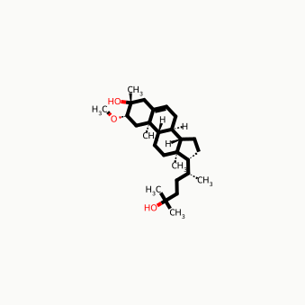 CO[C@H]1C[C@@]2(C)C(=CC[C@H]3[C@@H]4CC[C@H]([C@H](C)CCC(C)(C)O)[C@@]4(C)CC[C@@H]32)C[C@@]1(C)O